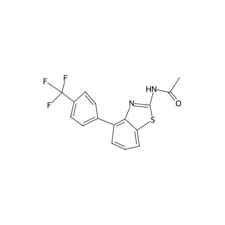 CC(=O)Nc1nc2c(-c3ccc(C(F)(F)F)cc3)cccc2s1